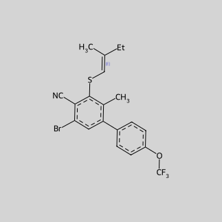 CC/C(C)=C/Sc1c(C)c(-c2ccc(OC(F)(F)F)cc2)cc(Br)c1C#N